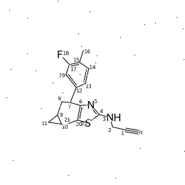 C#CCNc1nc(C(CC2CC2)c2ccc(C)c(F)c2)c(C)s1